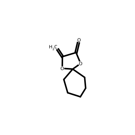 C=C1OC2(CCCCC2)OC1=O